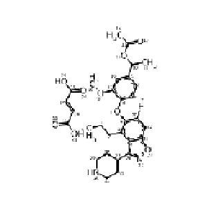 CCCc1c(Oc2ccc(C(C)OC(C)=O)cc2OC)c(F)cc2onc(C3CCNCC3)c12.O=C(O)C=CC(=O)O